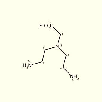 CCOC(=O)CN(CCN)CCN